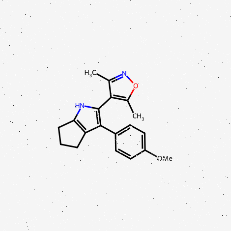 COc1ccc(-c2c(-c3c(C)noc3C)[nH]c3c2CCC3)cc1